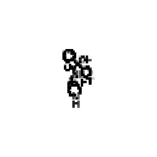 O=C(NCC1C2CCC1CNC2)C(O)(c1ccccc1)C1CCC(F)(F)C1